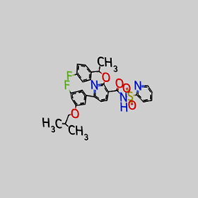 CC(C)COc1cc(F)cc(-c2ccc(C(=O)NS(=O)(=O)c3ccccn3)c(OC(C)c3ccc(F)cc3)n2)c1